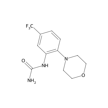 NC(=O)Nc1cc(C(F)(F)F)ccc1N1CCOCC1